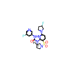 O=C(Nc1cncc(F)c1)N1c2nc(N3CCC(F)C3)ccc2S(=O)(=O)N2CC[C@H]1C2